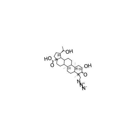 CC(O)[C@@H]1CC[C@]2(C(=O)O)CCC3C(CCC4[C@@]3(C)CCC3[C@]4(C)C[C@H](O)C(=O)[C@@]3(C)CN=[N+]=[N-])C12